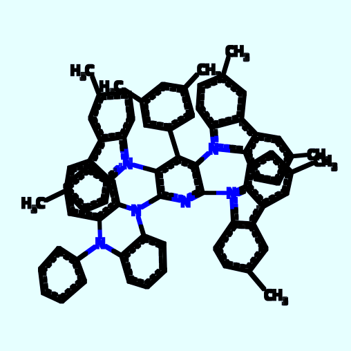 Cc1cc(C)cc(-c2c(-n3c4ccc(C)cc4c4cc(C)ccc43)c(N3c4ccccc4N(c4ccccc4)c4ccccc43)nc(-n3c4ccc(C)cc4c4cc(C)ccc43)c2-n2c3ccc(C)cc3c3cc(C)ccc32)c1